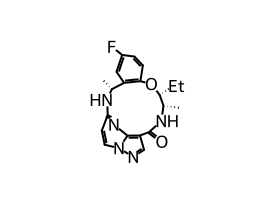 CC[C@H]1Oc2ccc(F)cc2[C@@H](C)Nc2ccn3ncc(c3n2)C(=O)N[C@H]1C